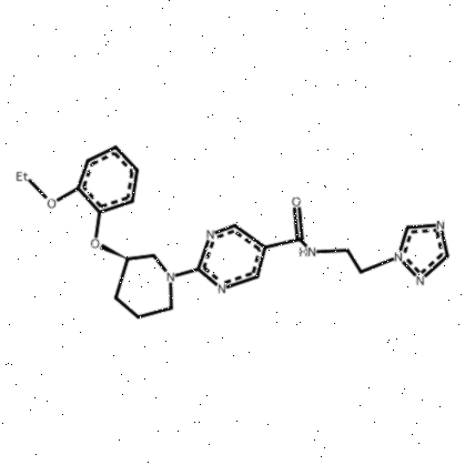 CCOc1ccccc1O[C@@H]1CCCN(c2ncc(C(=O)NCCn3cncn3)cn2)C1